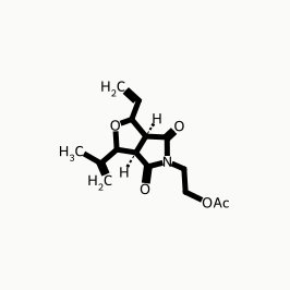 C=CC1OC(C(=C)C)[C@@H]2C(=O)N(CCOC(C)=O)C(=O)[C@H]12